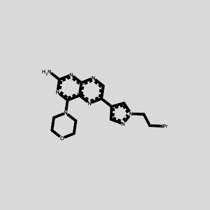 CC(C)CCn1cc(-c2cnc3nc(N)nc(N4CCOCC4)c3n2)cn1